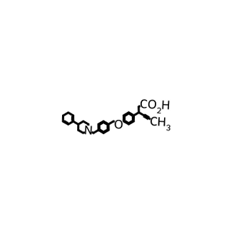 CC#CC(CC(=O)O)c1ccc(OCc2ccc(CN3CCC(C4=CCCC=C4)CC3)cc2)cc1